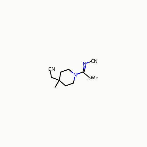 CS/C(=N\C#N)N1CCC(C)(CC#N)CC1